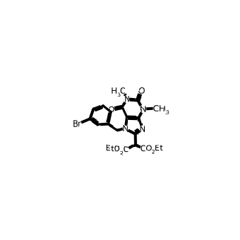 CCOC(=O)C(C(=O)OCC)c1nc2c(c(=O)n(C)c(=O)n2C)n1Cc1cccc(Br)c1